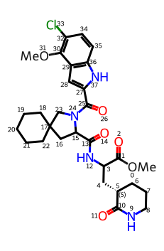 COC(=O)C(C[C@@H]1CCCNC1=O)NC(=O)C1CC2(CCCCC2)CN1C(=O)c1cc2c(OC)c(Cl)ccc2[nH]1